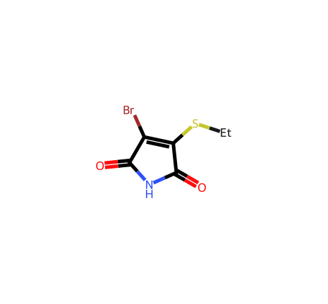 CCSC1=C(Br)C(=O)NC1=O